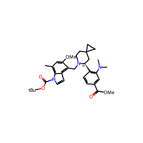 COC(=O)c1ccc([C@@H]2CC3(CCN2Cc2c(OC)cc(C)c4c2ccn4C(=O)OC(C)(C)C)CC3)c(N(C)C)c1